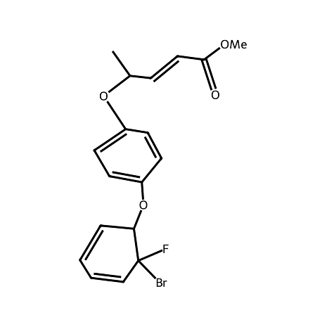 COC(=O)/C=C/C(C)Oc1ccc(OC2C=CC=CC2(F)Br)cc1